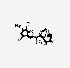 CCOC(=O)C(c1ncn2c1CC(F)C2)n1cc2c(Cl)cc(Br)c(Cl)c2n1